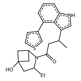 CCC1CC2(O)CC(C2)N1C(=O)CC(C)c1c[nH]c2cccc(-c3ccsc3)c12